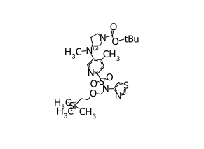 Cc1cc(S(=O)(=O)N(COCC[Si](C)(C)C)c2cscn2)ncc1N(C)[C@H]1CCN(C(=O)OC(C)(C)C)C1